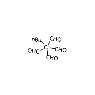 CCC[CH2][Cr]([CH]=O)([CH]=O)([CH]=O)[CH]=O